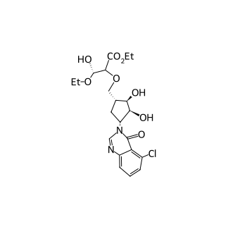 CCOC(=O)C(OC[C@H]1C[C@@H](n2cnc3cccc(Cl)c3c2=O)[C@H](O)[C@@H]1O)[C@@H](O)OCC